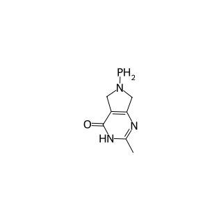 Cc1nc2c(c(=O)[nH]1)CN(P)C2